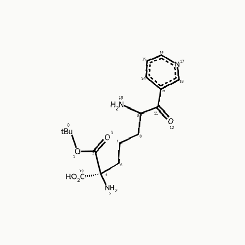 CC(C)(C)OC(=O)[C@](N)(CCCC(N)C(=O)c1cccnc1)C(=O)O